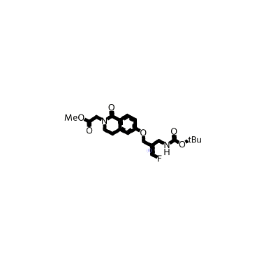 COC(=O)CN1CCc2cc(OC/C(=C/F)CNC(=O)OC(C)(C)C)ccc2C1=O